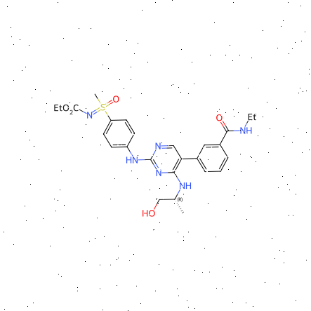 CCNC(=O)c1cccc(-c2cnc(Nc3ccc(S(C)(=O)=NC(=O)OCC)cc3)nc2N[C@H](C)CO)c1